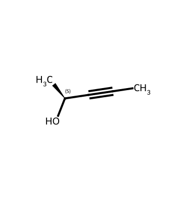 CC#C[C@H](C)O